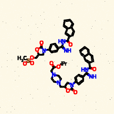 CC(C)OC(=O)CN1CCN(CC2CN(c3ccc(C(=N)NC(=O)c4ccc5ccccc5c4)cc3)C(=O)O2)CC1.CS(=O)(=O)OCC1CN(c2ccc(C(=N)NC(=O)c3ccc4ccccc4c3)cc2)C(=O)O1